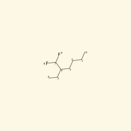 CCCCC(CC)C(F)F